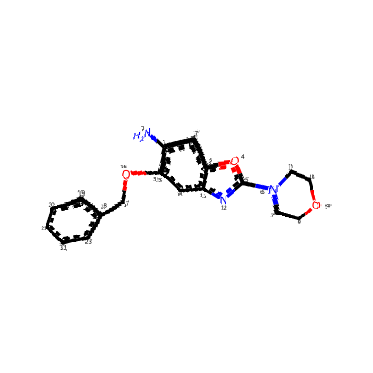 Nc1cc2oc(N3CCOCC3)nc2cc1OCc1ccccc1